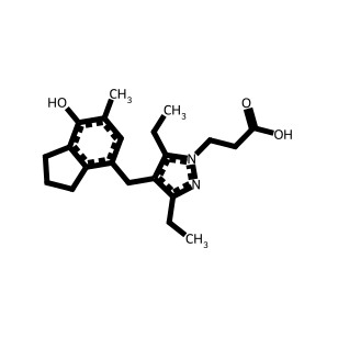 CCc1nn(CCC(=O)O)c(CC)c1Cc1cc(C)c(O)c2c1CCC2